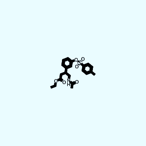 CCOC(=O)CC(CNC(C)=O)c1cccc(OS(=O)(=O)c2ccc(C)cc2)c1